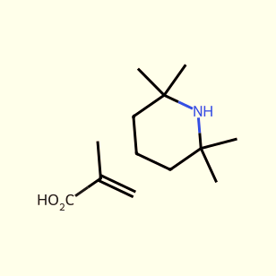 C=C(C)C(=O)O.CC1(C)CCCC(C)(C)N1